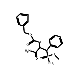 COP(N)(=O)C(c1ccccc1)C(NC(=O)OCc1ccccc1)C(N)=O